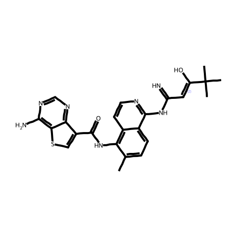 Cc1ccc2c(NC(=N)/C=C(\O)C(C)(C)C)nccc2c1NC(=O)c1csc2c(N)ncnc12